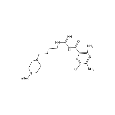 CCCCCCN1CCN(CCCCNC(=N)NC(=O)c2nc(Cl)c(N)nc2N)CC1